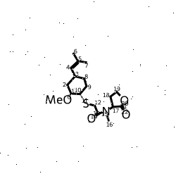 CO[C@@H]1CC(C=C(C)C)CC[C@@H]1SCC(=O)N(C)C1CCOC1=O